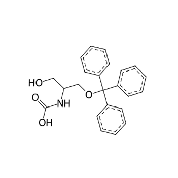 O=C(O)NC(CO)COC(c1ccccc1)(c1ccccc1)c1ccccc1